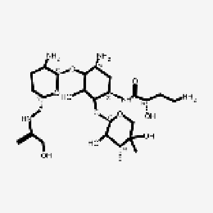 C=C(CO)NC[C@@H]1CCC(N)[C@@H](OC2C(O)C(O[C@H]3OCC(C)(O)[C@H](C)C3O)[C@H](NC(=O)[C@@H](O)CCN)C[C@@H]2N)O1